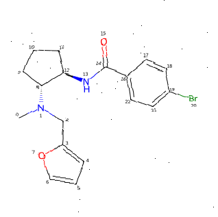 CN(Cc1ccco1)[C@@H]1CCC[C@H]1NC(=O)c1ccc(Br)cc1